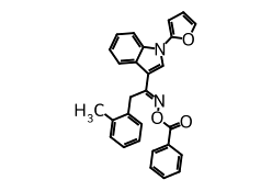 Cc1ccccc1C/C(=N\OC(=O)c1ccccc1)c1cn(-c2ccco2)c2ccccc12